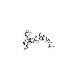 COc1cnc2cc(N3CCOCC3)nc(OC3CCC(Nc4ncc(OCCN(C)C)cn4)CC3)c2c1